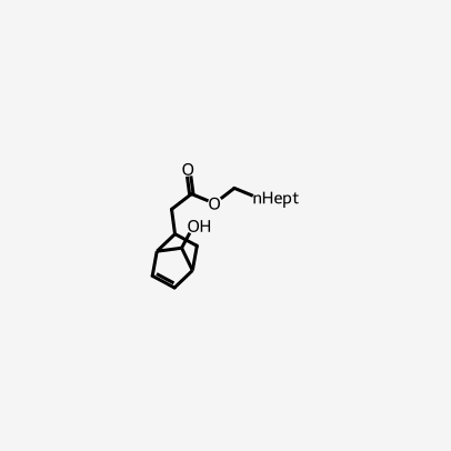 CCCCCCCCOC(=O)CC1CC2C=CC1C2O